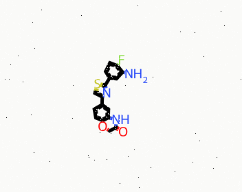 Nc1cc(-c2nc(-c3ccc4c(c3)NC(=O)CO4)cs2)ccc1F